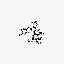 Cc1cc(Cc2cc([C@@H]3O[C@H](CO)C(O)[C@H](O)[C@@H]3O)c(C)c3c2CCC3)ccc1F